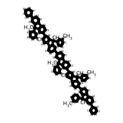 Cc1cccc(C2(C)c3cc(-c4ccccc4)ccc3-c3ccc(-c4ccc5c(c4)C(C)(c4cccc(C)c4)c4cc(-c6ccc7c(c6)C(C)(c6cccc(C)c6)c6cc(-c8ccc9c(c8)C(C)(c8cccc(C)c8)c8cc(-c%10ccc%11c(c%10)C(C)(c%10cccc(C)c%10)c%10cc(-c%12ccccc%12)ccc%10-%11)ccc8-9)ccc6-7)ccc4-5)cc32)c1